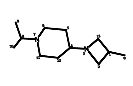 CC1CN(C2CCN(C(C)C)CC2)C1